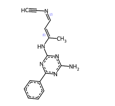 C#C/N=C\C=C(/C)Nc1nc(N)nc(-c2ccccc2)n1